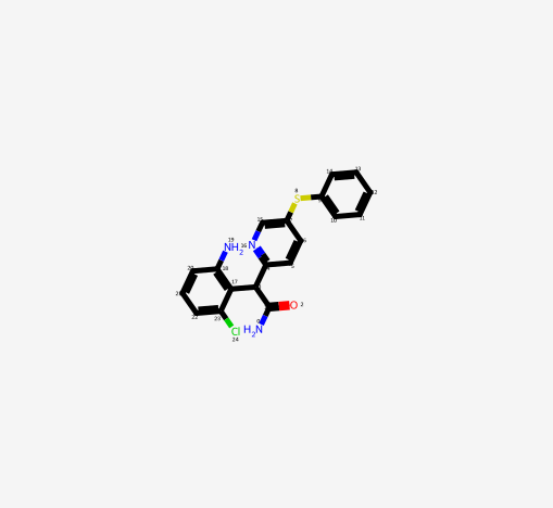 NC(=O)C(c1ccc(Sc2ccccc2)cn1)c1c(N)cccc1Cl